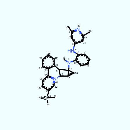 Cc1cc(Nc2ccccc2N(C)C23C=C2C2C3c3ccccc3-c3ccc([Si](C)(C)C)c[n+]32)cc(C)n1